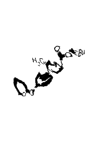 C[C@@H]1CN(C(=O)OC(C)(C)C)CCN1c1ccc(OC2CCCCO2)cc1